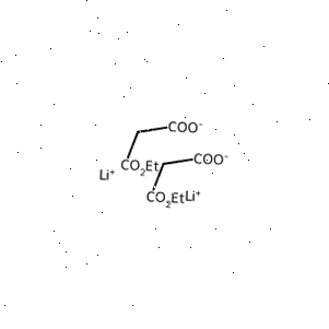 CCOC(=O)CC(=O)[O-].CCOC(=O)CC(=O)[O-].[Li+].[Li+]